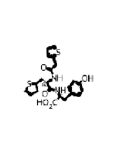 O=C(Cc1cccs1)N[C@@H](CC1CC=CS1)C(=O)N[C@@H](Cc1ccc(O)cc1)C(=O)O